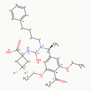 CCOc1cc([C@H](C)N(CCCCc2ccccc2)C(O)NC2(C(=O)O)CC(F)(F)C2)cc(OCC)c1C(C)=O